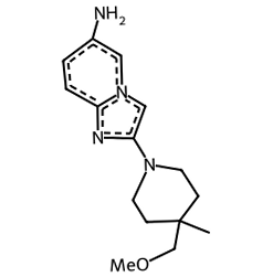 COCC1(C)CCN(c2cn3cc(N)ccc3n2)CC1